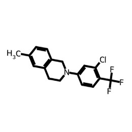 Cc1ccc2c(c1)CCN(c1ccc(C(F)(F)F)c(Cl)c1)C2